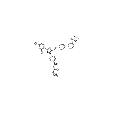 COC(=O)CNc1ccc(-n2cc(-c3ccc(Cl)cc3Cl)nc2C=Cc2ccc(-c3cccc(S(C)(=O)=O)c3)cc2)cc1